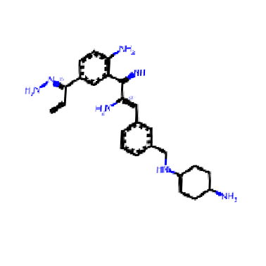 C=C/C(=N\N)c1ccc(N)c(C(=N)/C(N)=C/c2cccc(CNC3CCC(N)CC3)c2)c1